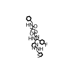 CC1(C(=O)NCc2ccccc2)COC(c2nc(-c3ccc(F)cc3)c(-c3ccnc(NCc4cccs4)n3)[nH]2)OC1